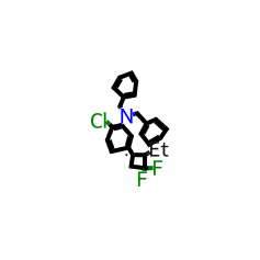 CCC1[C](c2ccc(Cl)c(N(Cc3ccccc3)Cc3ccccc3)c2)CC1(F)F